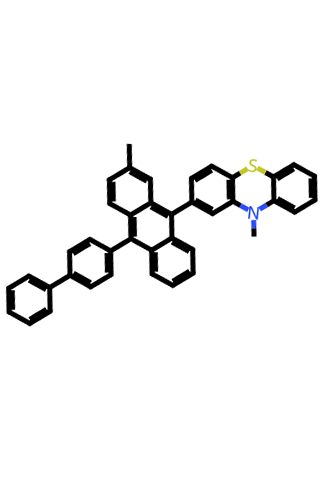 Cc1ccc2c(-c3ccc(-c4ccccc4)cc3)c3ccccc3c(-c3ccc4c(c3)N(C)c3ccccc3S4)c2c1